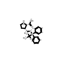 CC(C)(C)[Si](OC[C@@H]1CCN[C@@H]1C(=O)O)(c1ccccc1)c1ccccc1